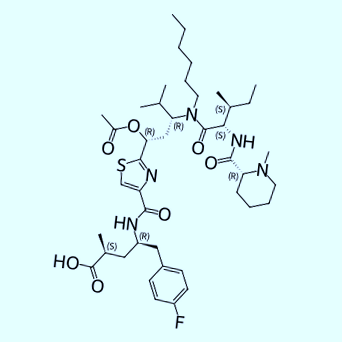 CCCCCCN(C(=O)[C@@H](NC(=O)[C@H]1CCCCN1C)[C@@H](C)CC)[C@H](C[C@@H](OC(C)=O)c1nc(C(=O)N[C@@H](Cc2ccc(F)cc2)C[C@H](C)C(=O)O)cs1)C(C)C